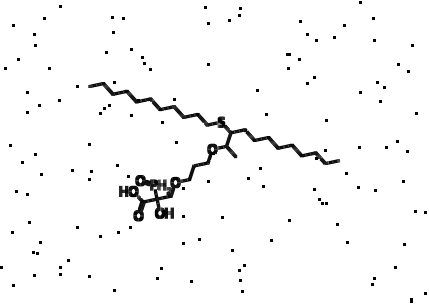 CCCCCCCCCCCSC(CCCCCCCCC)C(C)OCCCOCC(O)([PH2]=O)C(=O)O